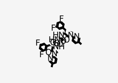 Cc1ccc(N(C)C(=O)[C@H](Cc2cc(F)cc(F)c2)NC(=O)NS(=O)(=O)N[C@@H](Cc2cc(F)cc(F)c2)C(=O)N(C)c2ccc(C)cn2)nc1